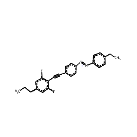 CCCc1cc(F)c(C#Cc2ccc(/N=N/c3ccc(CC)cc3)cc2)c(F)c1